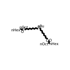 CCCCCCCCC(CCCCCC)C(=O)OCCCCCCCCCN(CCCC)CCCCCCCCCOC(=O)C(CCCCCC)CCCCCCCC